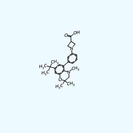 CN1CC(C)(C)Oc2cc(C(C)(C)C)cc(-c3cccc(N4CC(C(=O)O)C4)c3)c21